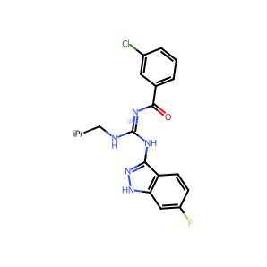 CC(C)CN/C(=N/C(=O)c1cccc(Cl)c1)Nc1n[nH]c2cc(F)ccc12